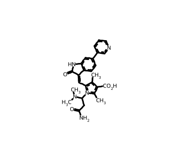 Cc1c(C(=O)O)c(C)n(C(CC(N)=O)N(C)C)c1C=C1C(=O)Nc2cc(-c3cccnc3)ccc21